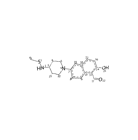 CSNC1CCN(c2ccc3c(C=O)c(O)ccc3c2)CC1